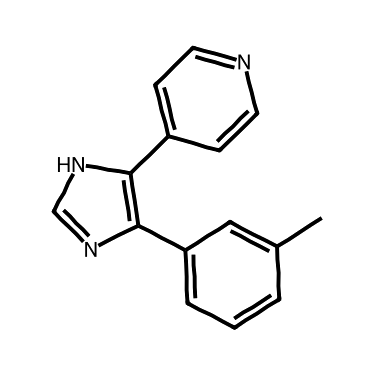 Cc1cccc(-c2nc[nH]c2-c2ccncc2)c1